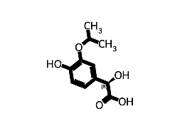 CC(C)Oc1cc([C@@H](O)C(=O)O)ccc1O